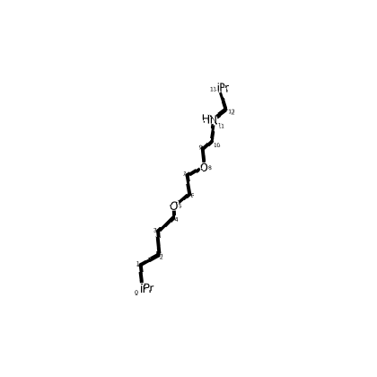 CC(C)CCCCOCCOCCNCC(C)C